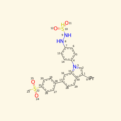 CC(C)c1cn(-c2ccc(NN[SH](=O)=O)cc2)c2cc(-c3ccc(S(C)(=O)=O)cc3)ccc12